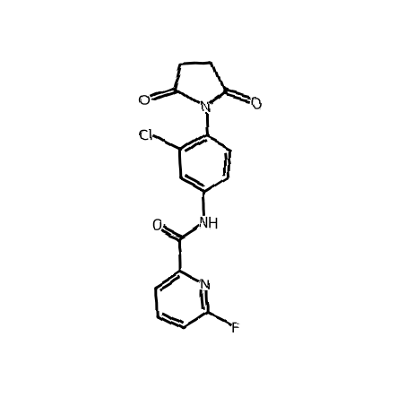 O=C(Nc1ccc(N2C(=O)CCC2=O)c(Cl)c1)c1cccc(F)n1